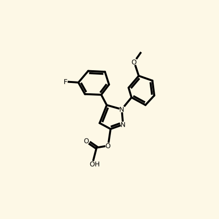 COc1cccc(-n2nc(OC(=O)O)cc2-c2cccc(F)c2)c1